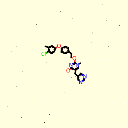 Cc1cc(Oc2ccc(CCOc3nc(=O)c(Cc4cncnc4)cn3C)cc2)ccc1Cl